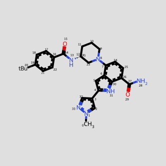 Cn1cc(-c2cc3c(N4CCC[C@@H](NC(=O)c5ccc(C(C)(C)C)cc5)C4)ccc(C(N)=O)c3[nH]2)cn1